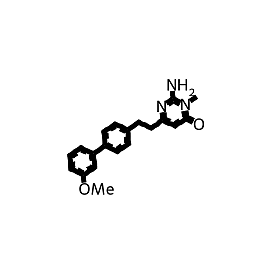 COc1cccc(-c2ccc(CCc3cc(=O)n(C)c(N)n3)cc2)c1